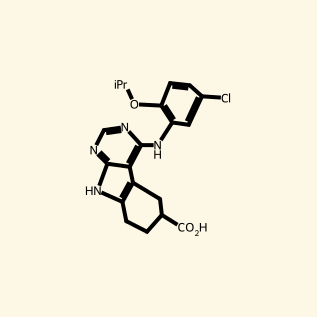 CC(C)Oc1ccc(Cl)cc1Nc1ncnc2[nH]c3c(c12)CC(C(=O)O)CC3